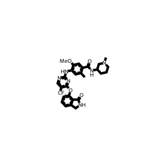 COc1cc(C(=O)NC2CCCN(C)C2)c(C)cc1Nc1ncc(C(F)(F)F)c(Oc2cccc3c2C(=O)NC3)n1